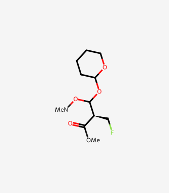 CNOC(OC1CCCCO1)[C@@H](CF)C(=O)OC